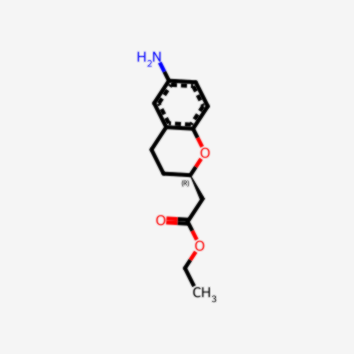 CCOC(=O)C[C@H]1CCc2cc(N)ccc2O1